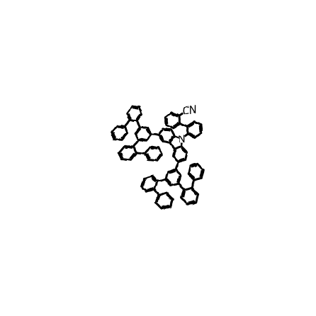 N#Cc1ccccc1-c1ccccc1-n1c2ccc(-c3cc(-c4ccccc4-c4ccccc4)cc(-c4ccccc4-c4ccccc4)c3)cc2c2cc(-c3cc(-c4ccccc4-c4ccccc4)cc(-c4ccccc4-c4ccccc4)c3)ccc21